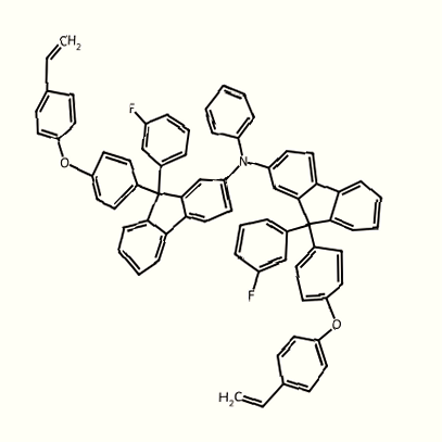 C=Cc1ccc(Oc2ccc(C3(c4cccc(F)c4)c4ccccc4-c4ccc(N(c5ccccc5)c5ccc6c(c5)C(c5ccc(Oc7ccc(C=C)cc7)cc5)(c5cccc(F)c5)c5ccccc5-6)cc43)cc2)cc1